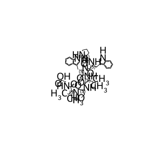 CC(C)[C@H](NC(=O)[C@H](CO)NC(=O)[C@@H](NC(=O)[C@H](Cc1c[nH]c2ccccc12)NC(=O)[C@H](Cc1c[nH]c2ccccc12)NC(=O)[C@@H]1CCCN1)C(C)C)C(=O)NCC(=O)O